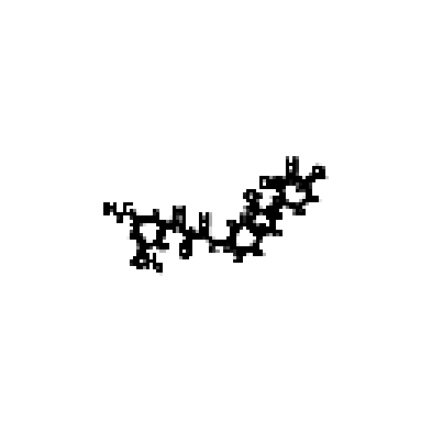 Cc1cc(C)cc(NC(=O)NCc2ccc3c(c2)C(=O)N(C2CCC(=O)NC2=O)C3)c1